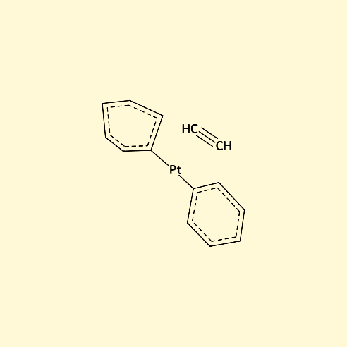 C#C.c1cc[c]([Pt][c]2ccccc2)cc1